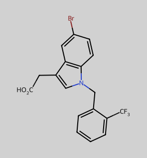 O=C(O)Cc1cn(Cc2ccccc2C(F)(F)F)c2ccc(Br)cc12